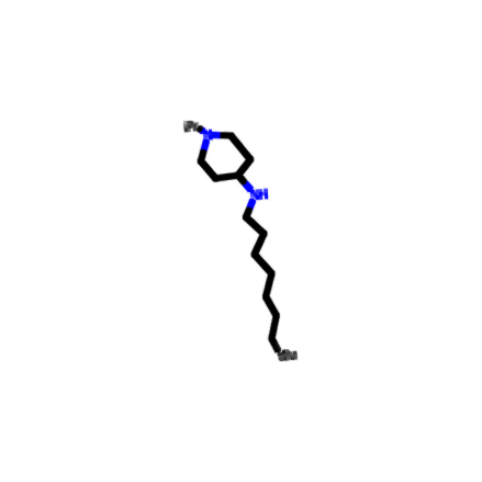 CC(C)N1CCC(NCCCCCCCC(C)(C)C)CC1